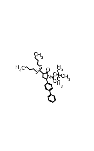 CCCCSC(SCCCC)C1CC(c2ccc(-c3ccccc3)cc2)N(C(=O)OC(C)(C)C)C1=O